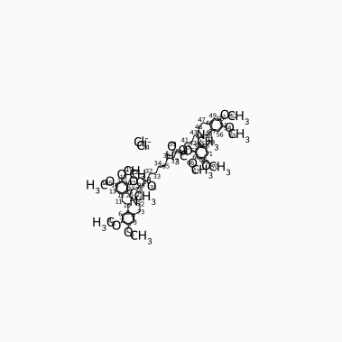 COc1cc2c(cc1OC)[C@@H](Cc1cc(OC)c(OC)c(OC)c1)[N@+](C)(CCCOC(=O)CC/C=C/CCC(=O)OCCC[N@+]1(C)CCc3cc(OC)c(OC)cc3[C@H]1Cc1cc(OC)c(OC)c(OC)c1)CC2.[Cl-].[Cl-]